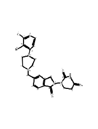 O=C1CCN(N2Cc3cc(CN4CCN(c5ccnc(Cl)c5Br)CC4)ccc3C2=O)C(=O)N1